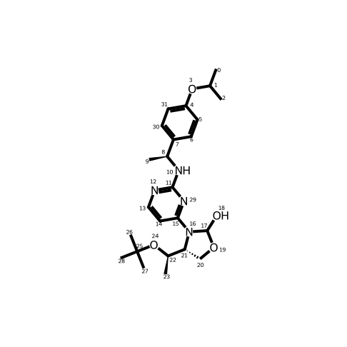 CC(C)Oc1ccc([C@H](C)Nc2nccc(N3C(O)OC[C@@H]3[C@@H](C)OC(C)(C)C)n2)cc1